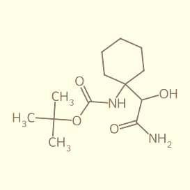 CC(C)(C)OC(=O)NC1(C(O)C(N)=O)CCCCC1